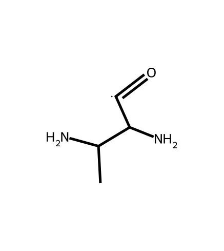 CC(N)C(N)[C]=O